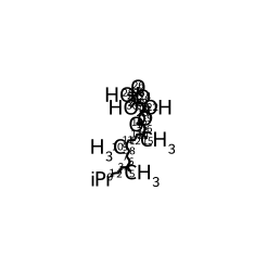 CC(C)CCCC(C)CCCC(C)CCCC(C)CC(=O)OC[C@H](O)[C@H]1OC(=O)C(O)=C1O